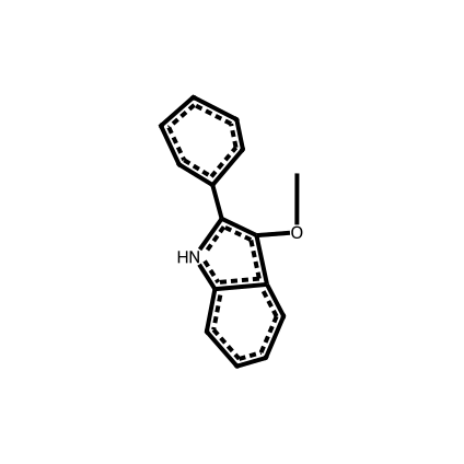 COc1c(-c2ccccc2)[nH]c2ccccc12